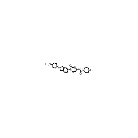 NC1CCC(N2Cc3ccc(-n4ccc(NC(=O)N5CCNCC5)nc4=O)cc3C2)CC1